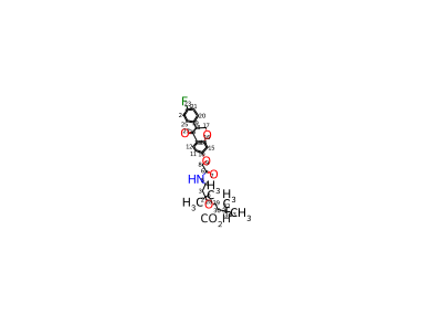 CC(C)(CCNC(=O)COc1ccc2c(c1)OCC(c1ccc(F)cc1)C2=O)OCCC(C)(C)C(=O)O